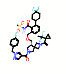 C=C(N1CC2(C1)CN(C(=O)c1cnn(Cc3ccc(F)cc3)c1)C[C@H]2COCc1cccc(C2CCC(F)(F)CC2)c1C(=O)NS(C)(=O)=O)C1(C(C)(F)F)CC1